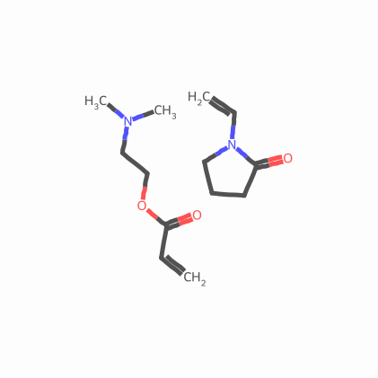 C=CC(=O)OCCN(C)C.C=CN1CCCC1=O